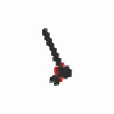 CCCCCCCCCCCCCCOC(=O)c1ccccc1C(=O)OC(C)CC